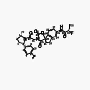 C[C@H]1CC[C@@H](c2ccc(F)cc2)N1C(=O)CN1C(=O)O[C@@]2(CCc3cc(NC(=O)C(F)F)ccc32)C1=O